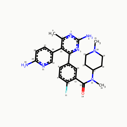 Cc1nc(N)nc(-c2ccc(F)c(C(=O)N(C)C3CCN(C)CC3)c2)c1-c1ccc(N)nc1